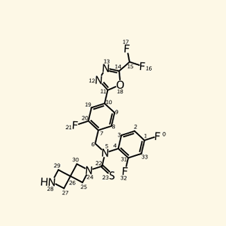 Fc1ccc(N(Cc2ccc(-c3nnc(C(F)F)o3)cc2F)C(=S)N2CC3(CNC3)C2)c(F)c1